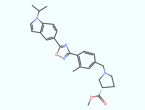 COC(=O)[C@H]1CCN(Cc2ccc(-c3noc(-c4ccc5c(ccn5C(C)C)c4)n3)c(C)c2)C1